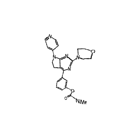 CNC(=O)Oc1cccc(-c2nc(N3CCOCC3)nc3c2CCN3c2ccncc2)c1